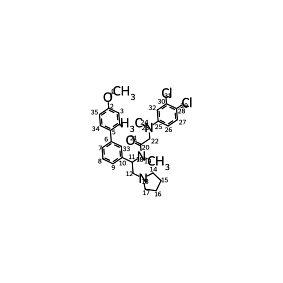 COc1ccc(-c2cccc(C(CN3CCCC3)N(C)C(=O)CN(C)c3ccc(Cl)c(Cl)c3)c2)cc1